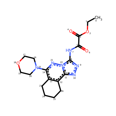 CCOC(=O)C(=O)Nc1nnc2c3c(c(N4CCOCC4)nn12)CCCC3